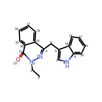 CCn1nc(Cc2c[nH]c3ccccc23)c2ccccc2c1=O